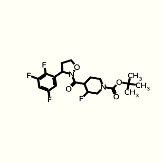 CC(C)(C)OC(=O)N1CCC(C(=O)N2OCCC2c2cc(F)cc(F)c2F)C(F)C1